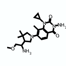 COCC(N)C1CN(c2ccc3c(=O)n(N)c(=O)n(C4CC4)c3c2C)CC1(C)C